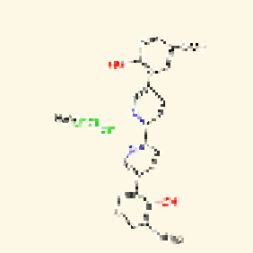 CCCCCCc1cccc(-c2ccc(-c3ccc(-c4cc(OC)ccc4O)cn3)nc2)c1O.[Cl-].[Cl-].[Cl-].[Mn+3]